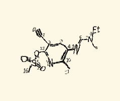 C#Cc1cc(/N=C/N(C)CC)c(C)nc1OS(C)(=O)=O